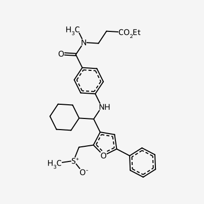 CCOC(=O)CCN(C)C(=O)c1ccc(NC(c2cc(-c3ccccc3)oc2C[S+](C)[O-])C2CCCCC2)cc1